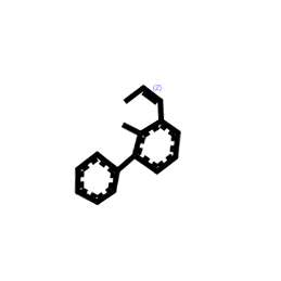 C/C=C\c1cccc(-c2ccccc2)c1C